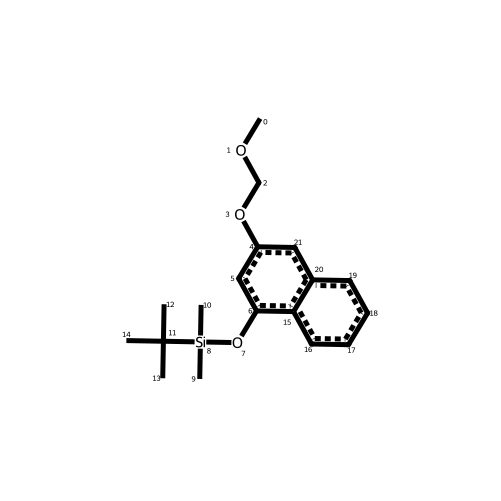 COCOc1cc(O[Si](C)(C)C(C)(C)C)c2ccccc2c1